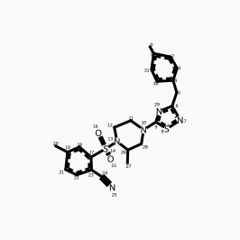 Cc1ccc(Cc2nsc(N3CCN(S(=O)(=O)c4cc(C)ccc4C#N)C(C)C3)n2)cc1